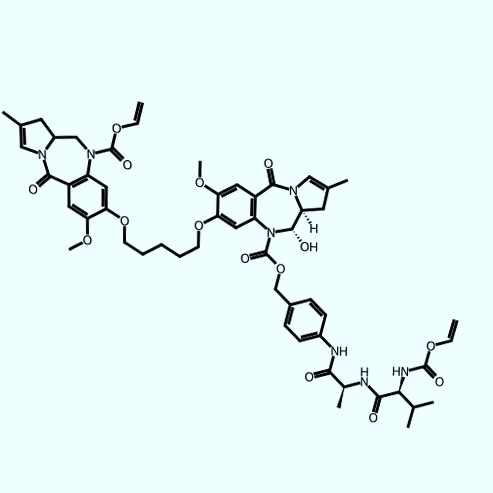 C=COC(=O)N[C@H](C(=O)N[C@@H](C)C(=O)Nc1ccc(COC(=O)N2c3cc(OCCCCCOc4cc5c(cc4OC)C(=O)N4C=C(C)CC4CN5C(=O)OC=C)c(OC)cc3C(=O)N3C=C(C)C[C@H]3[C@@H]2O)cc1)C(C)C